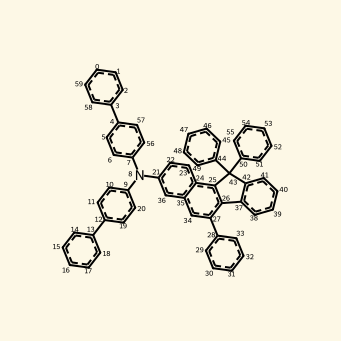 c1ccc(-c2ccc(N(c3ccc(-c4ccccc4)cc3)c3ccc4c5c(c(-c6ccccc6)cc4c3)-c3ccccc3C5(c3ccccc3)c3ccccc3)cc2)cc1